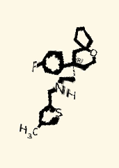 Cc1csc(CNCC[C@@]2(c3ccc(F)cc3)CCOC3(CCCC3)C2)c1